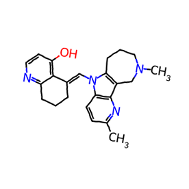 Cc1ccc2c(n1)c1c(n2/C=C2\CCCc3nccc(O)c32)CCCN(C)C1